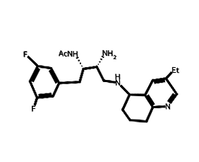 CCc1cnc2c(c1)C(NC[C@@H](N)[C@H](Cc1cc(F)cc(F)c1)NC(C)=O)CCC2